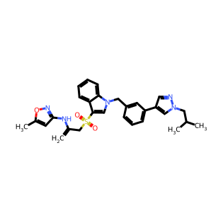 C=C(CS(=O)(=O)c1cn(Cc2cccc(-c3cnn(CC(C)C)c3)c2)c2ccccc12)Nc1cc(C)on1